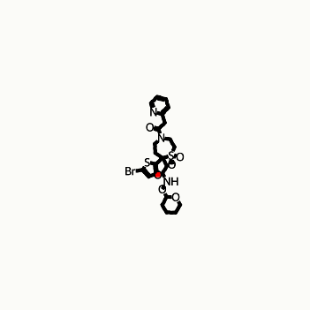 O=C(CC1(c2ccc(Br)s2)CCN(C(=O)Cc2ccccn2)CCS1(=O)=O)NOC1CCCCO1